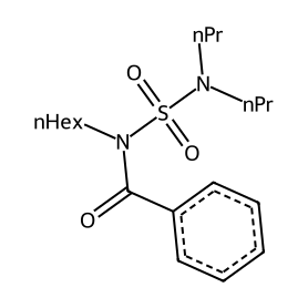 CCCCCCN(C(=O)c1ccccc1)S(=O)(=O)N(CCC)CCC